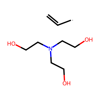 OCCN(CCO)CCO.[CH2]C=C